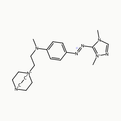 CN(CC[N+]12CCN(CC1)CC2)c1ccc(/N=N/c2n(C)cn[n+]2C)cc1